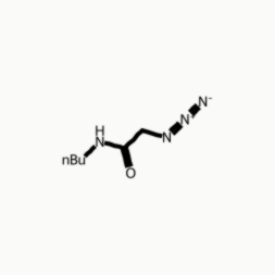 CCCCNC(=O)CN=[N+]=[N-]